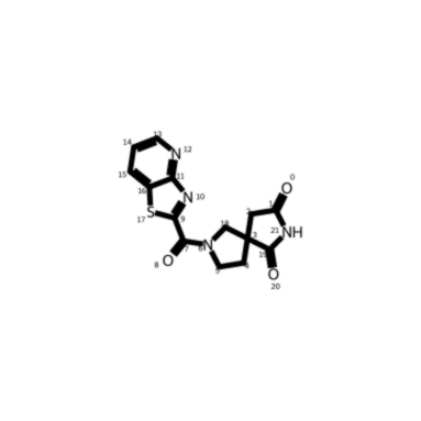 O=C1CC2(CCN(C(=O)c3nc4ncccc4s3)C2)C(=O)N1